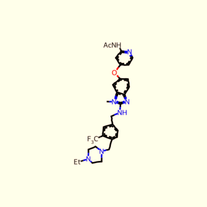 CCN1CCN(Cc2ccc(CNc3nc4ccc(Oc5ccnc(NC(C)=O)c5)cc4n3C)cc2C(F)(F)F)CC1